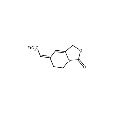 CCOC(=O)C=C1C=C2COC(=O)N2CC1